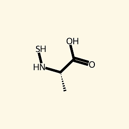 C[C@H](NS)C(=O)O